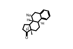 C[C@]12CC[C@@H]3c4ccccc4CC[C@H]3[C@@H]1CCC2=O.[Na]